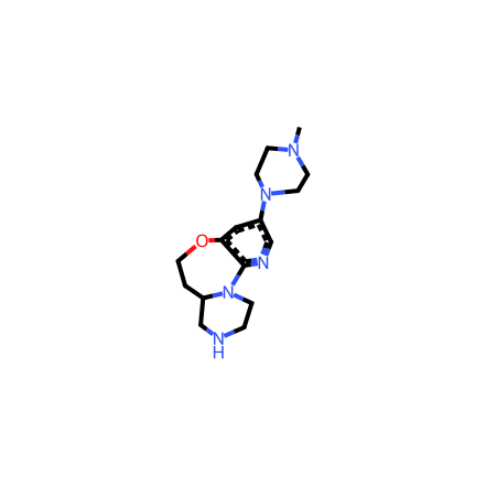 CN1CCN(c2cnc3c(c2)OCCC2CNCCN32)CC1